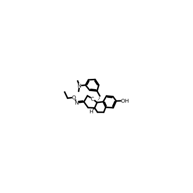 CCON=C1CC[C@@]2(Cc3cccc(N(C)C)c3)c3ccc(O)cc3CC[C@@H]2C1